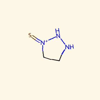 S=[N+]1CCNN1